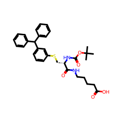 CC(C)(C)OC(=O)N[C@@H](CSc1cccc(C(c2ccccc2)c2ccccc2)c1)C(=O)NCCCCC(=O)O